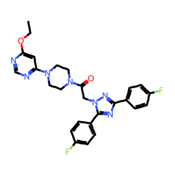 CCOc1cc(N2CCN(C(=O)Cn3nc(-c4ccc(F)cc4)nc3-c3ccc(F)cc3)CC2)ncn1